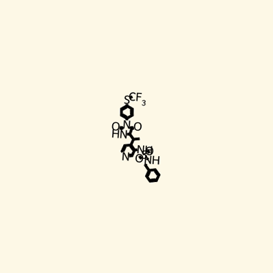 CC(c1ccncc1NS(=O)(=O)NCc1ccccc1)C1NC(=O)N(c2ccc(SC(F)(F)F)cc2)C1=O